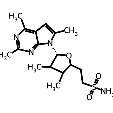 Cc1nc(C)c2cc(C)n([C@@H]3OC(CCS(N)(=O)=O)C(C)C3C)c2n1